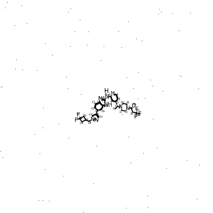 CC(c1ccnc(Nc2nc3ccc(-c4cnn(CC5CC(F)(F)C5)c4)cc3[nH]2)c1)N1CCN(C(=O)CC(F)(F)F)CC1